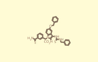 NC(=S)c1cccc(Cn2c(C(=O)O)c(NC(=S)NCc3ccccc3)c3cc(OCc4ccccc4)ccc32)c1